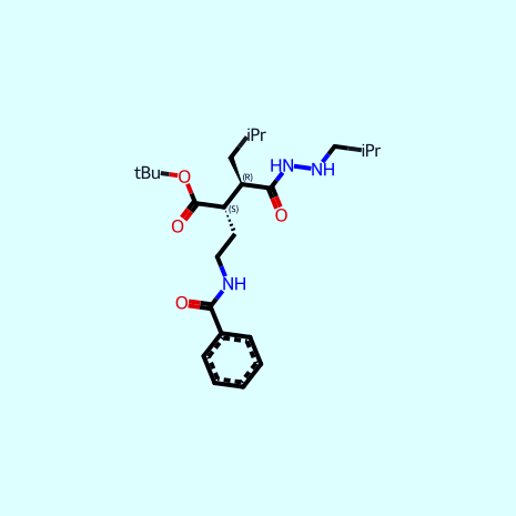 CC(C)CNNC(=O)[C@H](CC(C)C)[C@H](CCNC(=O)c1ccccc1)C(=O)OC(C)(C)C